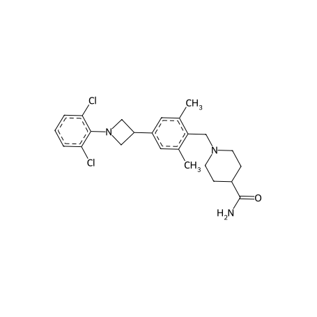 Cc1cc(C2CN(c3c(Cl)cccc3Cl)C2)cc(C)c1CN1CCC(C(N)=O)CC1